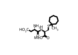 COC(=O)[C@H](CSC1(C)CCCCCC1)NC(=O)[C@@H](N)CC(=O)O